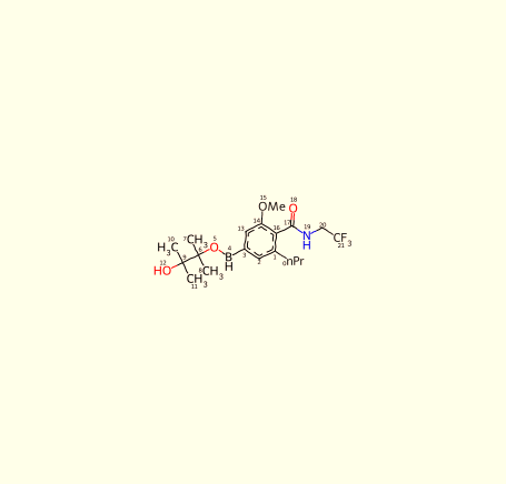 CCCc1cc(BOC(C)(C)C(C)(C)O)cc(OC)c1C(=O)NCC(F)(F)F